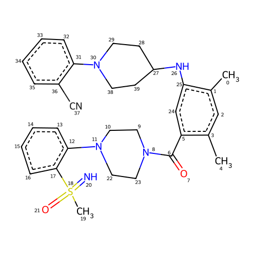 Cc1cc(C)c(C(=O)N2CCN(c3ccccc3S(C)(=N)=O)CC2)cc1NC1CCN(c2ccccc2C#N)CC1